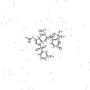 CNCc1cn(S(=O)(=O)c2cccc(F)c2)c2cc(Nc3ccc(Cl)nc3C(F)(F)F)ccc12.Cl